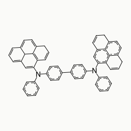 C1=CC2=CC=C3CC=CC4=C3C2C(=C1)C=C4N(c1ccccc1)c1ccc(-c2ccc(N(c3ccccc3)c3cc4c5c(ccc6c5c3C=CC6)CC=C4)cc2)cc1